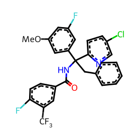 COc1cc(F)cc(C(Cc2ccccc2)(NC(=O)c2ccc(F)c(C(F)(F)F)c2)c2ccc(Cl)cn2)c1